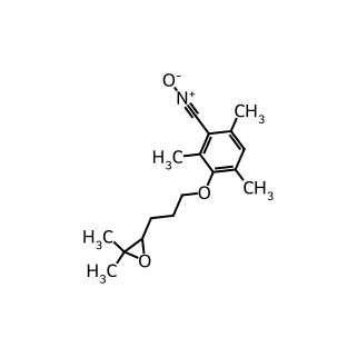 Cc1cc(C)c(OCCCC2OC2(C)C)c(C)c1C#[N+][O-]